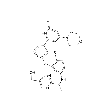 CC(Nc1ccc2c(c1)Sc1cccc(-c3cc(N4CCOCC4)cc(=O)[nH]3)c1S2)c1ncc(CO)cn1